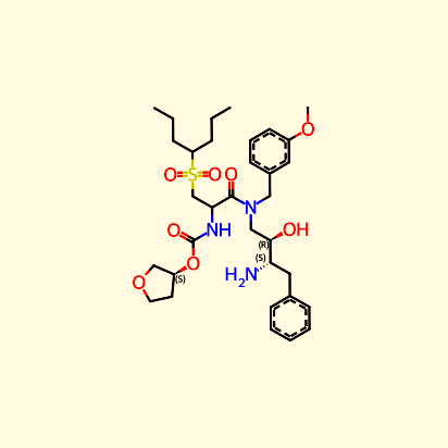 CCCC(CCC)S(=O)(=O)CC(NC(=O)O[C@H]1CCOC1)C(=O)N(Cc1cccc(OC)c1)C[C@@H](O)[C@@H](N)Cc1ccccc1